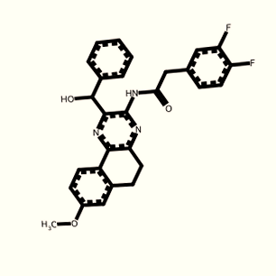 COc1ccc2c(c1)CCc1nc(NC(=O)Cc3ccc(F)c(F)c3)c(C(O)c3ccccc3)nc1-2